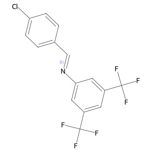 FC(F)(F)c1cc(/N=C/c2ccc(Cl)cc2)cc(C(F)(F)F)c1